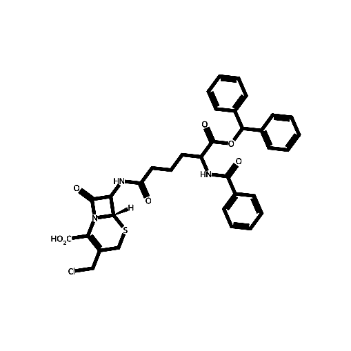 O=C(CCCC(NC(=O)c1ccccc1)C(=O)OC(c1ccccc1)c1ccccc1)NC1C(=O)N2C(C(=O)O)=C(CCl)CS[C@@H]12